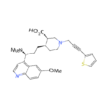 CN[C@@H](CC[C@@H]1CCN(CC#Cc2cccs2)C[C@@H]1C(=O)O)c1ccnc2ccc(OC)cc12